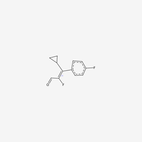 O=C/C(F)=C(/c1ccc(F)cc1)C1CC1